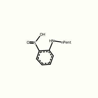 CCCCCNc1ccccc1S(=O)O